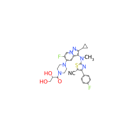 CN(c1nc(-c2ccc(F)cc2)c(C#N)s1)c1c(C2CC2)nn2cc(F)c(N3CCN(C(=O)C(O)CO)CC3)cc12